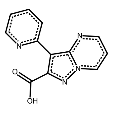 O=C(O)c1nn2cccnc2c1-c1ccccn1